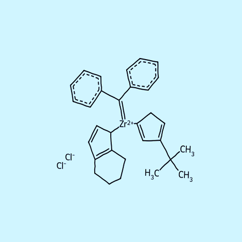 CC(C)(C)C1=CC[C]([Zr+2](=[C](c2ccccc2)c2ccccc2)[CH]2C=CC3=C2CCCC3)=C1.[Cl-].[Cl-]